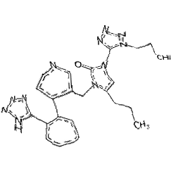 CCCc1cn(-c2nnnn2CCC)c(=O)n1Cc1cnccc1-c1ccccc1-c1nnn[nH]1